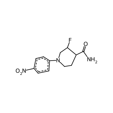 NC(=O)C1CCN(c2ccc([N+](=O)[O-])cc2)CC1F